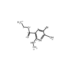 CCOC(=O)c1cc(Br)c(O)nc1NC